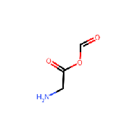 NCC(=O)OC=O